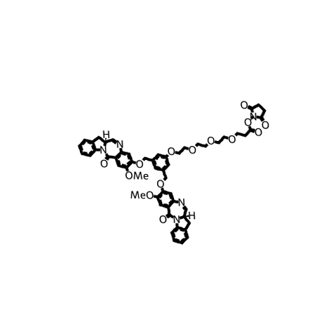 COc1cc2c(cc1OCc1cc(COc3cc4c(cc3OC)C(=O)N3c5ccccc5C[C@H]3C=N4)cc(OCCOCCOCCOCCC(=O)ON3C(=O)CCC3=O)c1)N=C[C@@H]1Cc3ccccc3N1C2=O